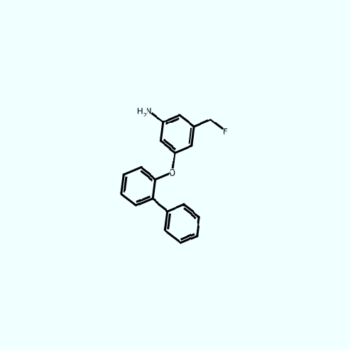 Nc1cc(CF)cc(Oc2ccccc2-c2ccccc2)c1